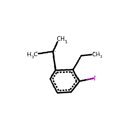 CCc1c(I)cccc1[C](C)C